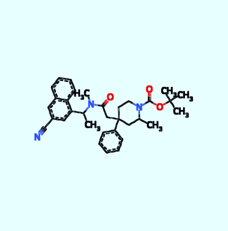 CC(c1cc(C#N)cc2ccccc12)N(C)C(=O)CC1(c2ccccc2)CCN(C(=O)OC(C)(C)C)C(C)C1